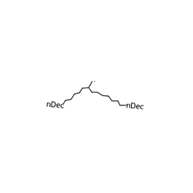 [CH2]C(CCCCCCCCCCCCCCC)CCCCCCCCCCCCCCCCC